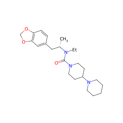 CCN(C(=O)N1CCC(N2CCCCC2)CC1)[C@@H](C)Cc1ccc2c(c1)OCO2